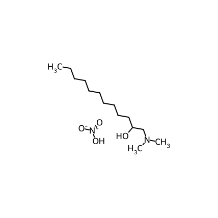 CCCCCCCCCCC(O)CN(C)C.O=[N+]([O-])O